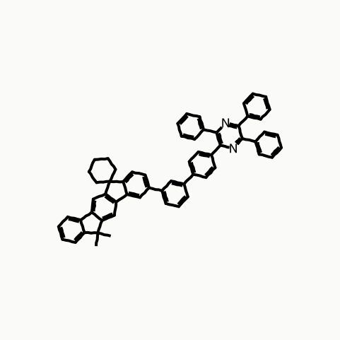 CC1(C)c2ccccc2-c2cc3c(cc21)-c1cc(-c2cccc(-c4ccc(-c5nc(-c6ccccc6)c(-c6ccccc6)nc5-c5ccccc5)cc4)c2)ccc1C31CCCCC1